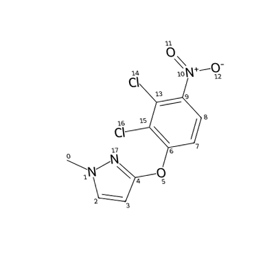 Cn1ccc(Oc2ccc([N+](=O)[O-])c(Cl)c2Cl)n1